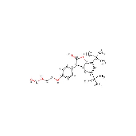 CC(C)(C)c1cc2c(c(C(C)(C)C)c1)OC(=O)C2c1ccc(OCCOC=O)cc1